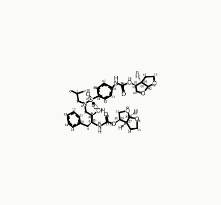 CC(C)CN(C[C@@H](O)[C@H](Cc1ccccc1)NC(=O)O[C@H]1CO[C@H]2OCC[C@H]21)S(=O)(=O)c1ccc(NC(=O)O[C@@H]2COC3OCC[C@@H]32)cc1